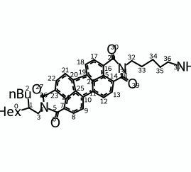 CCCCCCC(CCCC)CN1C(=O)c2ccc3c4ccc5c6c(ccc(c7ccc(c2c37)C1=O)c64)C(=O)N(CCCCCN)C5=O